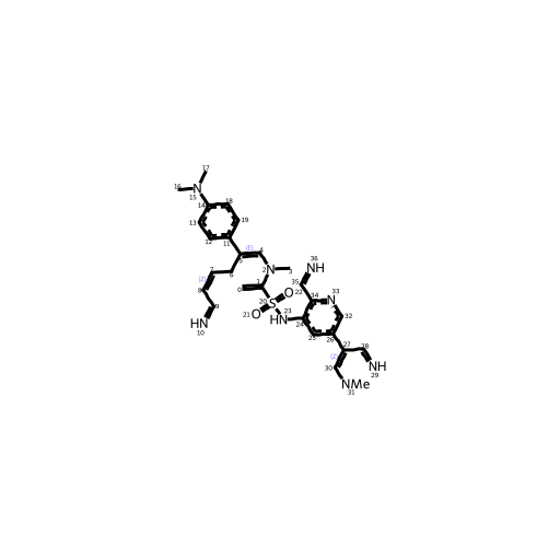 C=C(N(C)/C=C(\C/C=C\C=N)c1ccc(N(C)C)cc1)S(=O)(=O)Nc1cc(/C(C=N)=C/NC)cnc1C=N